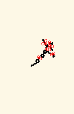 C=C(C)C(=O)OCCCc1cc(-c2ccc(OC(=O)C3CCC(CCCCC)CC3)cc2)ccc1OCC(COC(=O)C(=C)C)(COC(=O)C(=O)CC)COC(=O)C(=O)CC